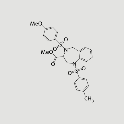 COC(=O)C1CN(S(=O)(=O)c2ccc(C)cc2)c2ccccc2CN1S(=O)(=O)c1ccc(OC)cc1